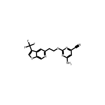 N#Cc1cc(N)nc(SCCc2cc3c(C(F)(F)F)csc3cn2)n1